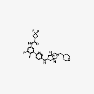 O=C(Nc1cc(F)c(F)c(-c2ccc(NC3C[C@@H]4CN(CC5CCOCC5)C[C@@H]4C3)nn2)c1)C1CC(F)(F)C1